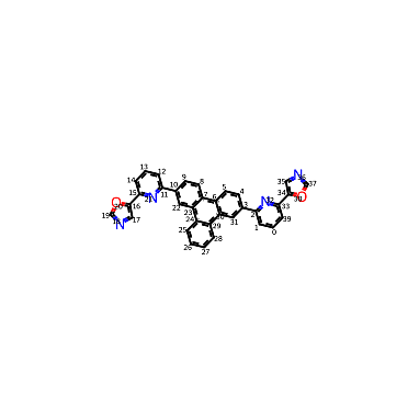 c1cc(-c2ccc3c4ccc(-c5cccc(-c6cnco6)n5)cc4c4ccccc4c3c2)nc(-c2cnco2)c1